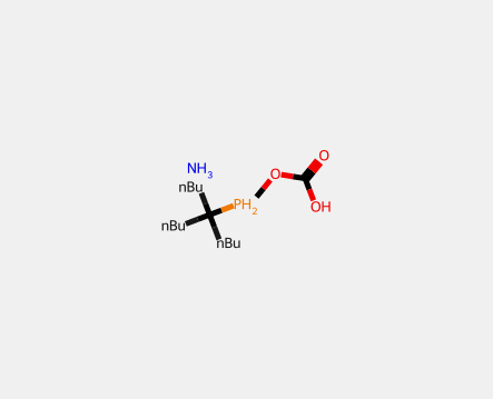 CCCCC(P)(CCCC)CCCC.COC(=O)O.N